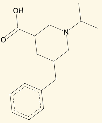 CC(C)N1CC(Cc2ccccc2)CC(C(=O)O)C1